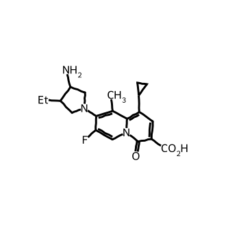 CCC1CN(c2c(F)cn3c(=O)c(C(=O)O)cc(C4CC4)c3c2C)CC1N